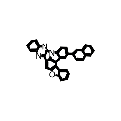 c1ccc2cc(-c3ccc4c(c3)c3c5c(cc6c7nc8ccccc8nc7n4c63)oc3ccccc35)ccc2c1